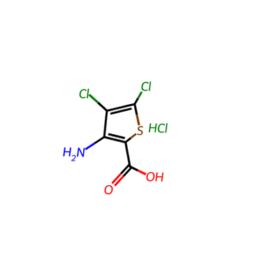 Cl.Nc1c(C(=O)O)sc(Cl)c1Cl